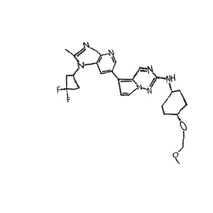 COCCO[C@H]1CC[C@@H](Nc2ncc3c(-c4cnc5nc(C)n(C6CC(F)(F)C6)c5c4)ccn3n2)CC1